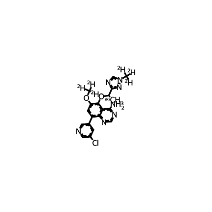 [2H]C([2H])([2H])Oc1cc(-c2cncc(Cl)c2)c2ncnc(N)c2c1O[C@H](C)c1ncn(C([2H])([2H])[2H])n1